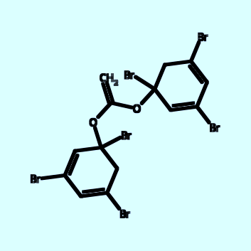 C=C(OC1(Br)C=C(Br)C=C(Br)C1)OC1(Br)C=C(Br)C=C(Br)C1